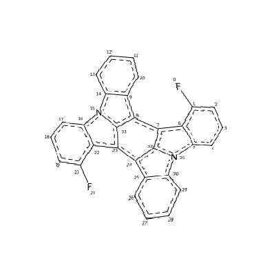 Fc1cccc2c1c1c3c4ccccc4n4c5cccc(F)c5c(c5c6ccccc6n2c51)c34